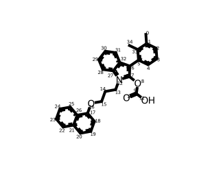 Cc1cccc(-c2c(OC(=O)O)n(CCCOc3cccc4ccccc34)c3ccccc23)c1C